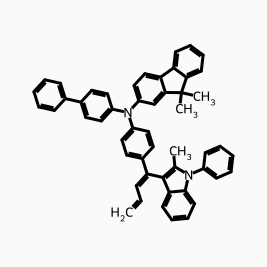 C=C/C=C(/c1ccc(N(c2ccc(-c3ccccc3)cc2)c2ccc3c(c2)C(C)(C)c2ccccc2-3)cc1)c1c(C)n(-c2ccccc2)c2ccccc12